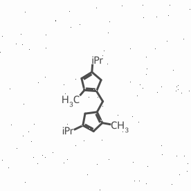 CC1=C(CC2=C(C)C=C(C(C)C)C2)CC(C(C)C)=C1